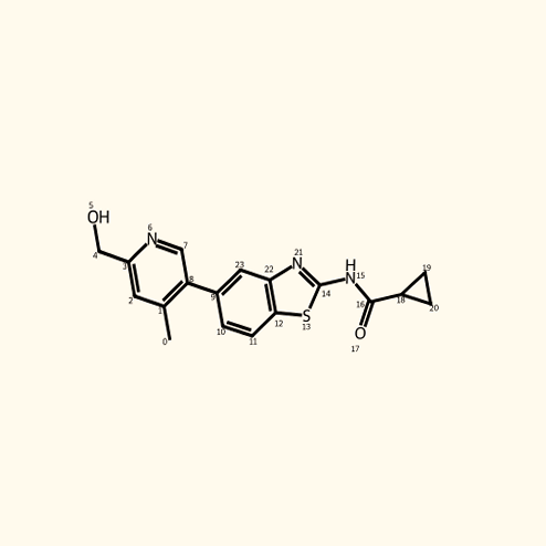 Cc1cc(CO)ncc1-c1ccc2sc(NC(=O)C3CC3)nc2c1